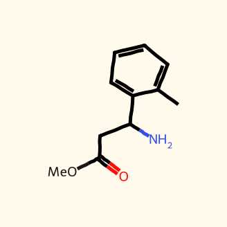 COC(=O)CC(N)c1ccccc1C